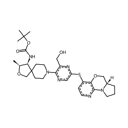 C[C@@H]1OCC2(CCN(c3ncc(Sc4ccnc5c4OC[C@@H]4CCCN54)nc3CO)CC2)[C@@H]1NC(=O)OC(C)(C)C